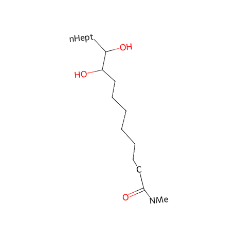 CCCCCCCC(O)C(O)CCCCCCCC(=O)NC